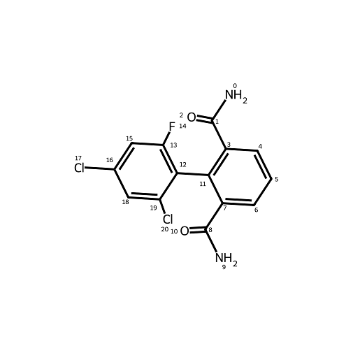 NC(=O)c1cccc(C(N)=O)c1-c1c(F)cc(Cl)cc1Cl